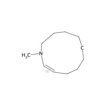 CN1/C=C\CCCCCCCC1